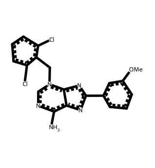 COc1cccc(-c2nc3c(N)ncn(Cc4c(Cl)cccc4Cl)c-3n2)c1